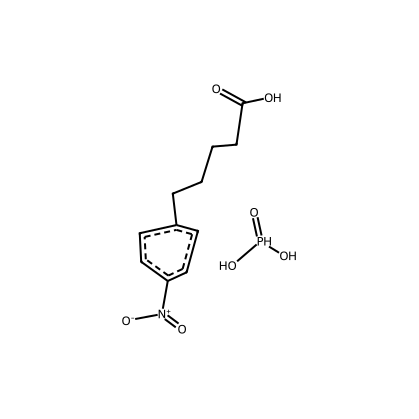 O=C(O)CCCCc1ccc([N+](=O)[O-])cc1.O=[PH](O)O